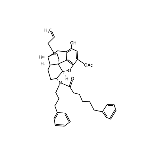 C=CCN1CC[C@]23c4c5c(O)cc(OC(C)=O)c4O[C@H]2[C@H](N(CCCc2ccccc2)C(=O)CCCCCc2ccccc2)CC[C@H]3[C@H]1C5